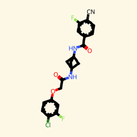 N#Cc1ccc(C(=O)NC23CC(NC(=O)COc4ccc(Cl)c(F)c4)(C2)C3)cc1F